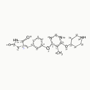 Cc1c(Oc2cccc(/C=C3/SC(=O)NC3=O)c2)ncnc1OC1CCNCC1